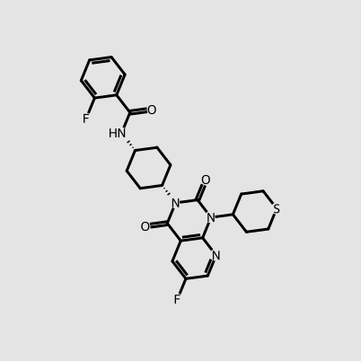 O=C(N[C@H]1CC[C@@H](n2c(=O)c3cc(F)cnc3n(C3CCSCC3)c2=O)CC1)c1ccccc1F